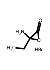 Br.CCC1(N)OC1=O